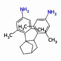 Cc1cc(N)cc(C)c1C1CC2CCC1(c1c(C)cc(N)cc1C)C2